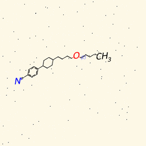 CCC/C=C/OCCCCC1CCC(c2ccc(C#N)cc2)CC1